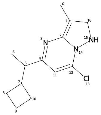 CC1=C2N=C(C(C)C3CCC3)C=C(Cl)N2NC1